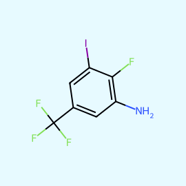 Nc1cc(C(F)(F)F)cc(I)c1F